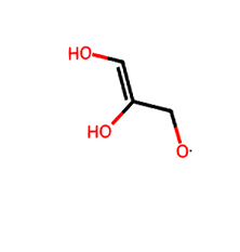 [O]CC(O)=CO